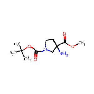 COC(=O)C1(N)CCN(C(=O)OC(C)(C)C)C1